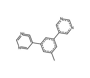 Cc1cc(C2=C=[N+]=CN=C2)cc(-c2cncnc2)c1